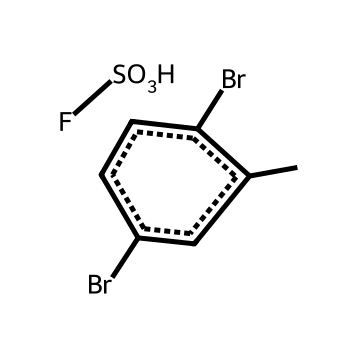 Cc1cc(Br)ccc1Br.O=S(=O)(O)F